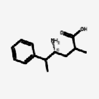 CC(C[C@@H](N)C(C)c1ccccc1)C(=O)O